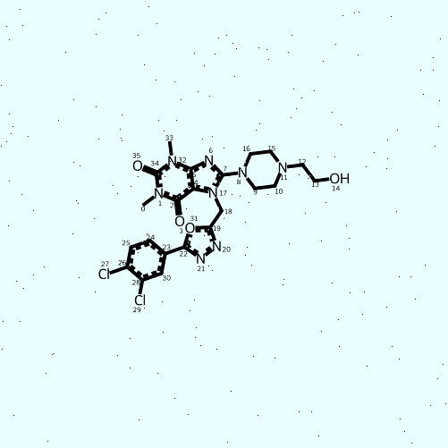 Cn1c(=O)c2c(nc(N3CCN(CCO)CC3)n2Cc2nnc(-c3ccc(Cl)c(Cl)c3)o2)n(C)c1=O